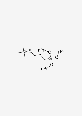 CCCO[Si](CCCS[Si](C)(C)C)(OCCC)OCCC